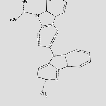 CCCC(CCC)N1c2ccc(N3C4=CC[C@@H](C)C=C4C4C=CC=CC43)cc2C2C=CC=CC21